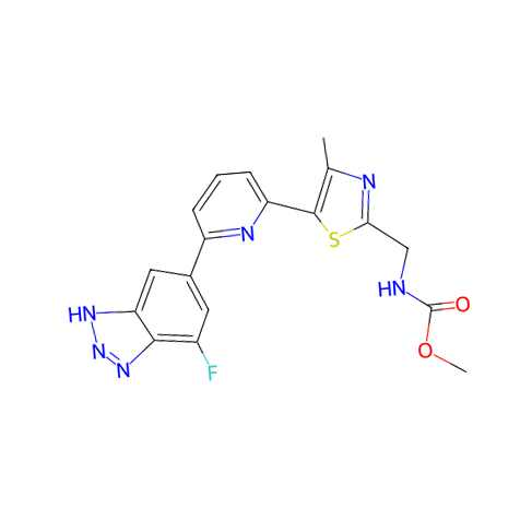 COC(=O)NCc1nc(C)c(-c2cccc(-c3cc(F)c4nn[nH]c4c3)n2)s1